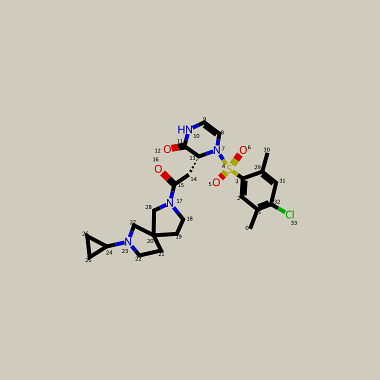 Cc1cc(S(=O)(=O)N2C=CNC(=O)[C@H]2CC(=O)N2CCC3(CCN(C4CC4)C3)C2)c(C)cc1Cl